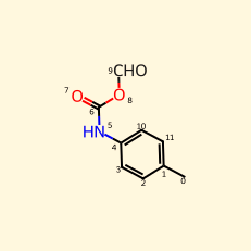 Cc1ccc(NC(=O)OC=O)cc1